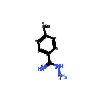 CCCCc1ccc(C(=N)NN)cc1